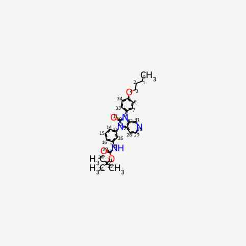 CCCCOc1ccc(-n2c(=O)n(-c3cccc(NC(=O)OC(C)(C)C)c3)c3ccncc32)cc1